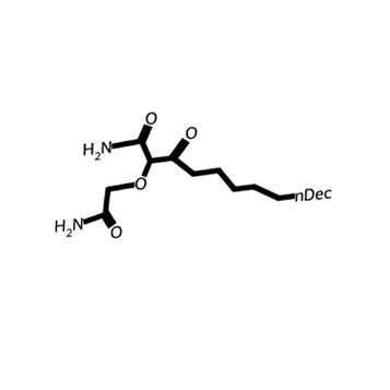 CCCCCCCCCCCCCCCC(=O)C(OCC(N)=O)C(N)=O